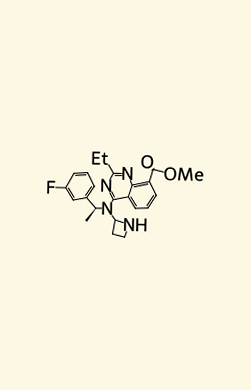 CCc1nc(N(C2CCN2)[C@@H](C)c2cccc(F)c2)c2cccc(C(=O)OC)c2n1